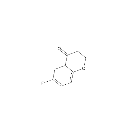 O=C1CCOC2=CC=C(F)CC12